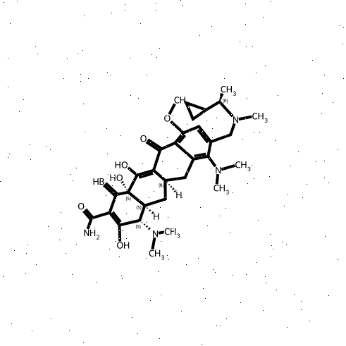 B=C1C(C(N)=O)=C(O)[C@@H](N(C)C)[C@@H]2C[C@@H]3Cc4c(c(OC)cc(CN(C)[C@H](C)C5CC5)c4N(C)C)C(=O)C3=C(O)[C@]12O